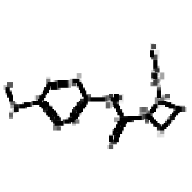 COc1ccc(NC(=O)[C@@H]2CC[N]2[Ru][Cl])cc1